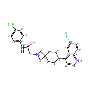 O=C(CN1CC2(CCC(c3ccnc4ccc(F)cc34)CC2)C1)Nc1ccc(Cl)cc1